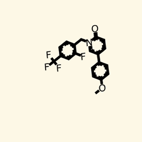 COc1ccc(-c2ccc(=O)n(Cc3ccc(C(F)(F)F)cc3F)c2)cc1